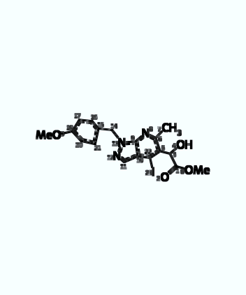 COC(=O)C(O)c1c(C)nc2c(cnn2Cc2ccc(OC)cc2)c1I